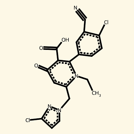 CCn1c(Cn2ccc(Cl)n2)cc(=O)c(C(=O)O)c1-c1ccc(Cl)c(C#N)c1